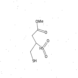 COC(=O)CC(CS)[SH](=O)=O